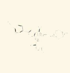 COc1ccc(-c2cc(C(=O)NCCN3CCNCC3)c(NC(N)=O)s2)cc1